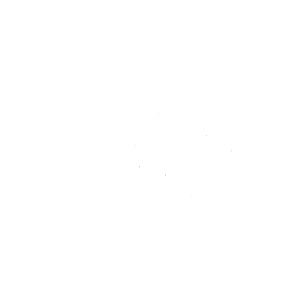 SCCc1cc2ccccc2s1